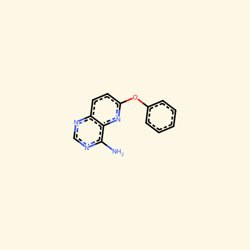 Nc1ncnc2ccc(Oc3ccccc3)nc12